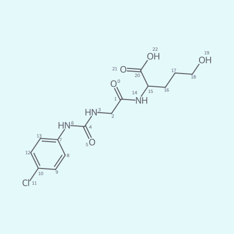 O=C(CNC(=O)Nc1ccc(Cl)cc1)NC(CCCO)C(=O)O